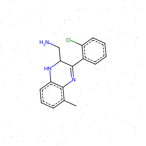 Cc1cccc2c1N=C(c1ccccc1Cl)C(CN)N2